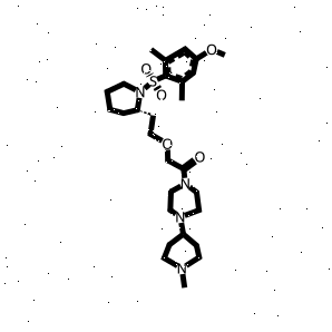 COc1cc(C)c(S(=O)(=O)N2CCCC[C@H]2CCOCC(=O)N2CCN(C3CCN(C)CC3)CC2)c(C)c1